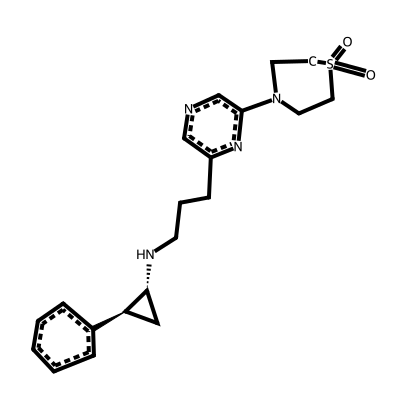 O=S1(=O)CCN(c2cncc(CCCN[C@@H]3C[C@H]3c3ccccc3)n2)CC1